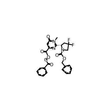 Cn1c([C@@H]2CC(F)(F)CN2C(=O)OCc2ccccc2)nc(C(=O)OOC(=O)c2ccccc2)cc1=O